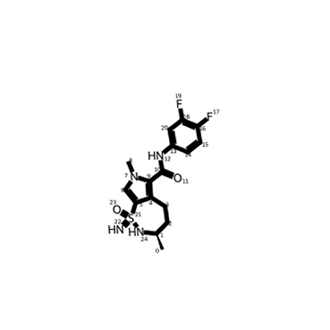 C[C@@H]1CCc2c(cn(C)c2C(=O)Nc2ccc(F)c(F)c2)S(=N)(=O)N1